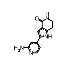 Nc1cc(-c2cc3c([nH]2)CCNC3=O)ccn1